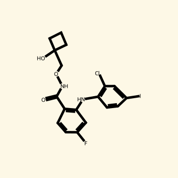 O=C(NOCC1(O)CCC1)c1ccc(F)cc1Nc1ccc(I)cc1Cl